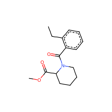 CCc1ccccc1C(=O)N1CCCCC1C(=O)OC